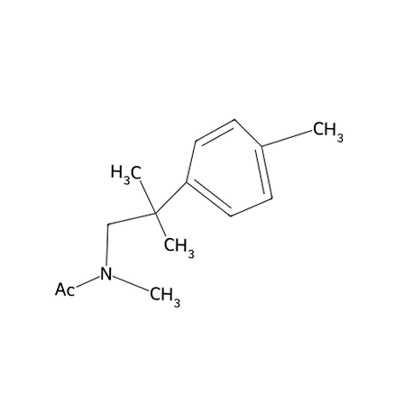 CC(=O)N(C)CC(C)(C)c1ccc(C)cc1